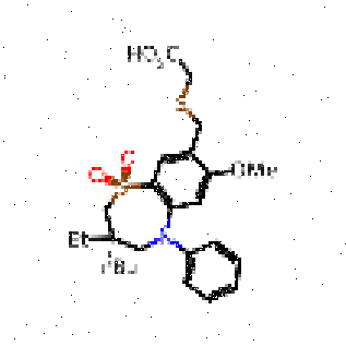 CCCC[C@@]1(CC)CN(c2ccccc2)c2cc(OC)c(CSCC(=O)O)cc2S(=O)(=O)C1